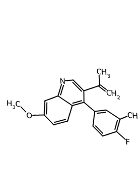 C=C(C)c1cnc2cc(OC)ccc2c1-c1ccc(F)c(C)c1